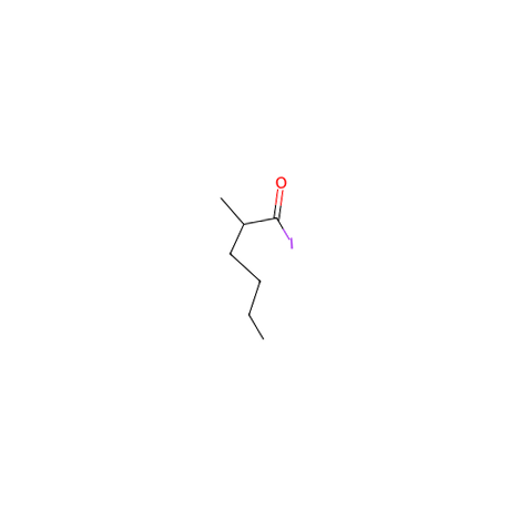 CCCCC(C)C(=O)I